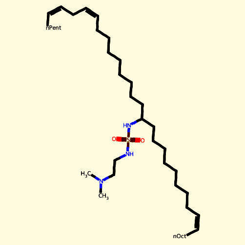 CCCCC/C=C\C/C=C\CCCCCCCCC(CCCCCCCC/C=C\CCCCCCCC)NS(=O)(=O)NCCN(C)C